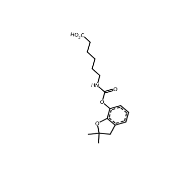 CC1(C)Cc2cccc(OC(=O)NCCCCCC(=O)O)c2O1